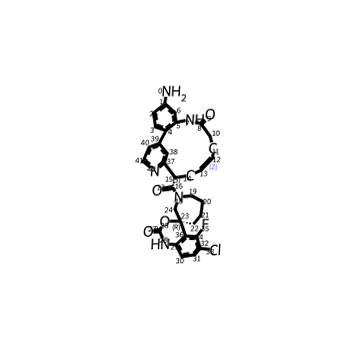 Nc1ccc2c(c1)NC(=O)CC/C=C\C[C@H](C(=O)N1CCCC[C@@]3(C1)OC(=O)Nc1ccc(Cl)c(F)c13)c1cc-2ccn1